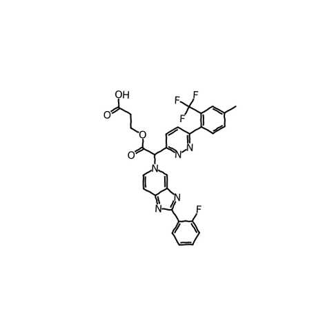 Cc1ccc(-c2ccc(C(C(=O)OCCC(=O)O)n3ccc4nc(-c5ccccc5F)nc-4c3)nn2)c(C(F)(F)F)c1